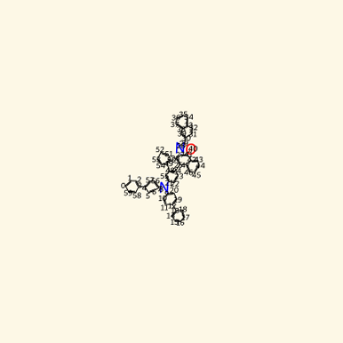 c1ccc(-c2ccc(N(c3ccc(-c4ccccc4)cc3)c3ccc(-c4cc5nc(-c6ccc7ccccc7c6)oc5c5ccccc45)c(-c4ccccc4)c3)cc2)cc1